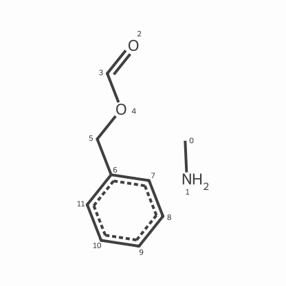 CN.O=COCc1ccccc1